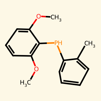 COc1cccc(OC)c1Pc1ccccc1C